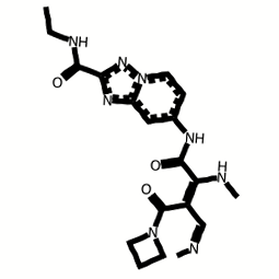 CCNC(=O)c1nc2cc(NC(=O)/C(NC)=C(/C=N\C)C(=O)N3CCC3)ccn2n1